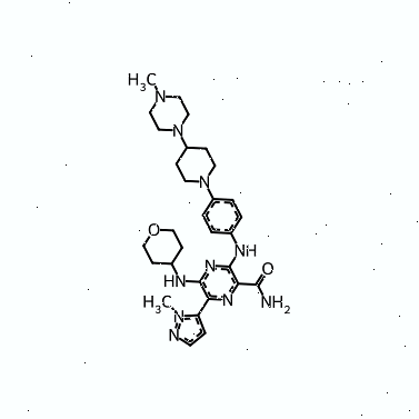 CN1CCN(C2CCN(c3ccc(Nc4nc(NC5CCOCC5)c(-c5ccnn5C)nc4C(N)=O)cc3)CC2)CC1